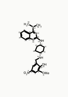 COc1cc([N+](=O)[O-])cc(CN[C@H]2CC[C@@H](Nc3nc(N(C)C)c4ccccc4n3)CC2)c1O